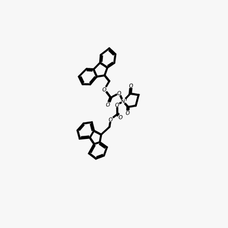 O=C(OCC1c2ccccc2-c2ccccc21)O[N+]1(OC(=O)OCC2c3ccccc3-c3ccccc32)C(=O)CCC1=O